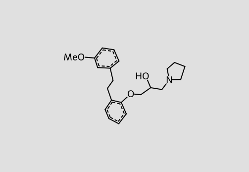 COc1cccc(CCc2ccccc2OCC(O)CN2CCCC2)c1